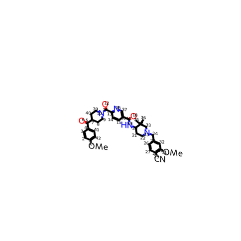 COc1ccc(C(=O)C2CCN(C(=O)c3ccc(C(=O)NC4CCN(Cc5ccc(C#N)c(OC)c5)CC4(C)C)cn3)CC2)cc1